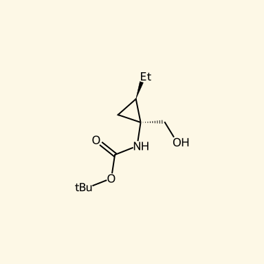 CC[C@@H]1C[C@]1(CO)NC(=O)OC(C)(C)C